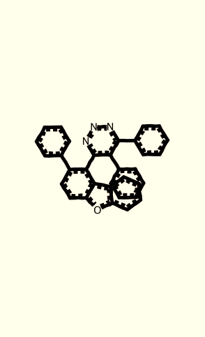 c1ccc(-c2ccc3oc4ccccc4c3c2-c2nnnc(-c3ccccc3)c2-c2ccccc2)cc1